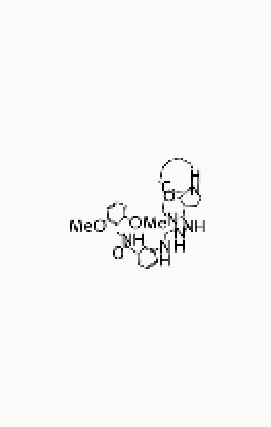 COc1cccc(OC)c1CNC(=O)c1cccc(NCC2NNC3C4CCNC5(CCCCCCCCC5)C4OCCN23)c1